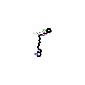 O=C(Cc1ccccc1Cl)NC(CCCCCCCc1ccc2c(n1)NCCC2)C(=O)O